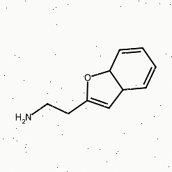 NCCC1=CC2C=CC=CC2O1